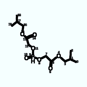 CC(C)COC(=O)CO[PH](=O)OCC(=O)OCC(C)C